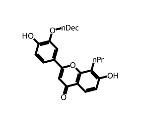 CCCCCCCCCCOc1cc(-c2cc(=O)c3ccc(O)c(CCC)c3o2)ccc1O